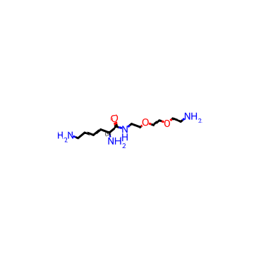 NCCCC[C@H](N)C(=O)NCCOCCOCCN